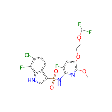 COc1nc(NS(=O)(=O)c2c[nH]c3c(F)c(Cl)ccc23)c(F)cc1OCCOC(F)F